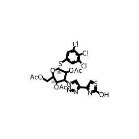 CC(=O)OCC1O[C@H](Sc2cc(Cl)c(Cl)c(Cl)c2)C(OC(C)=O)C(n2cc(-c3csc(O)n3)nn2)[C@H]1OC(C)=O